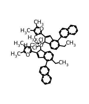 CCc1ccc2c(c1-c1ccc3ccccc3c1)C=C(c1cc(C)c(C)o1)[CH]2[Zr]([Cl])([Cl])([CH]1C(c2cc(C)c(C)o2)=Cc2c1ccc(CC)c2-c1ccc2ccccc2c1)=[Si](C)C